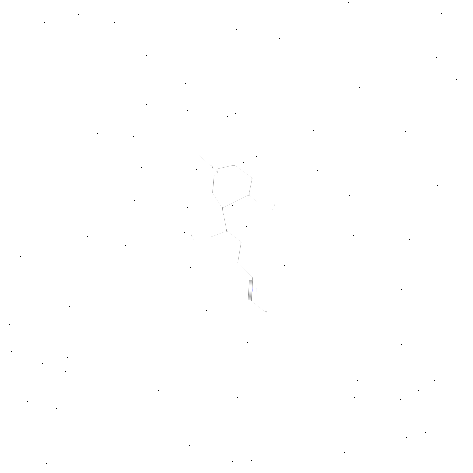 CC(=O)OC(CC/C=C/I)C1CN(C)CCC1OC(C)=O